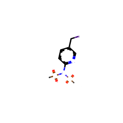 O=S(=O)(N(c1ccc(CI)cn1)S(=O)(=O)C(F)(F)F)C(F)(F)F